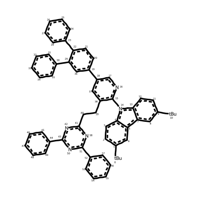 CC(C)(C)c1ccc2c(c1)c1cc(C(C)(C)C)ccc1n2-c1ncc(-c2ccc(-c3ccccc3)c(-c3ccccc3)c2)cc1CCc1nc(-c2ccccc2)nc(-c2ccccc2)n1